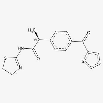 C[C@H](C(=O)NC1=NCCS1)c1ccc(C(=O)c2cccs2)cc1